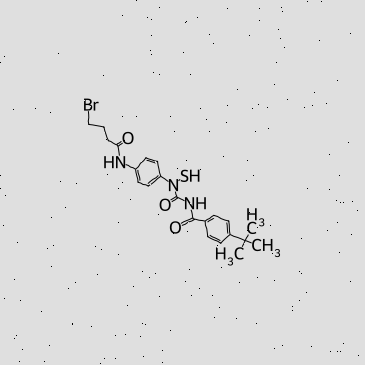 CC(C)(C)c1ccc(C(=O)NC(=O)N(S)c2ccc(NC(=O)CCCBr)cc2)cc1